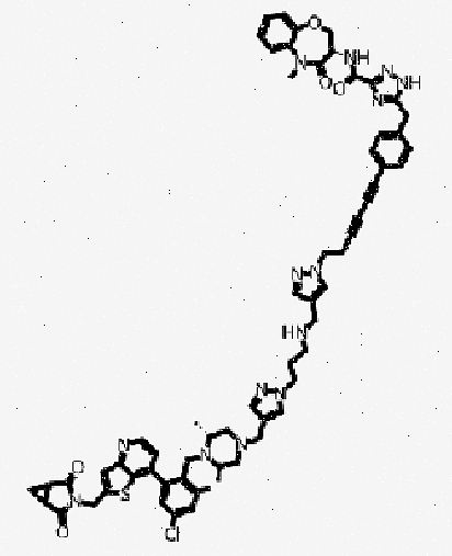 Cc1cc(Cl)cc(-c2ccnc3cc(CN4C(=O)C5CC5C4=O)sc23)c1CN1[C@H](C)CN(Cc2cnn(CCCNCc3cnn(CCC#CC#Cc4ccc(Cc5nc(C(=O)N[C@H]6COc7ccccc7N(C)C6=O)n[nH]5)cc4)c3)c2)C[C@H]1C